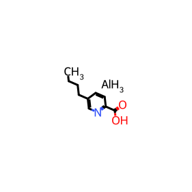 CCCCc1ccc(C(=O)O)nc1.[AlH3]